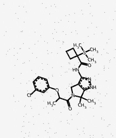 CC(Oc1cccc(Cl)c1)C(=O)N1Cc2c(NC(=O)C3(S(C)(C)C)CCC3)n[nH]c2C1(C)C